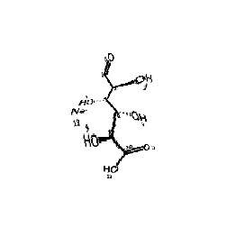 O=C[C@@H](O)[C@@H](O)[C@H](O)[C@H](O)C(=O)O.[Na]